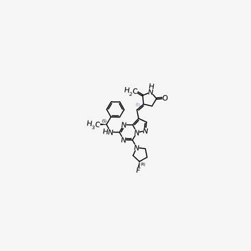 C=C1NC(=O)C/C1=C\c1cnn2c(N3CC[C@@H](F)C3)nc(N[C@@H](C)c3ccccc3)nc12